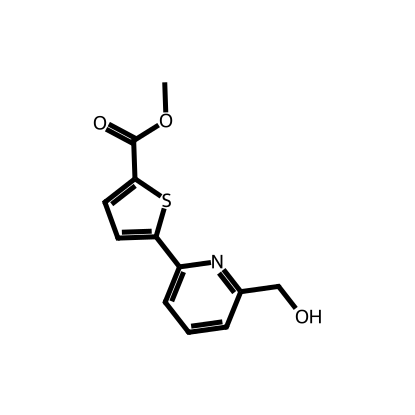 COC(=O)c1ccc(-c2cccc(CO)n2)s1